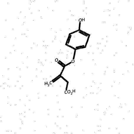 C=C(CC(=O)O)C(=O)Oc1ccc(O)cc1